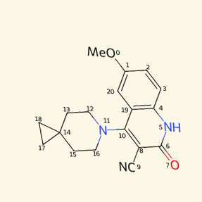 COc1ccc2[nH]c(=O)c(C#N)c(N3CCC4(CC3)CC4)c2c1